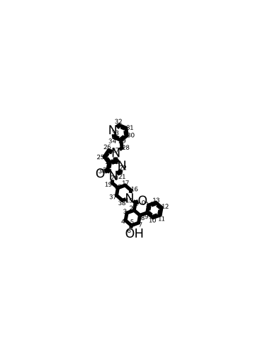 O=C(C1CCC(O)CC1c1ccccc1)N1CCC(Cn2cnc3c(ccn3Cc3cccnc3)c2=O)CC1